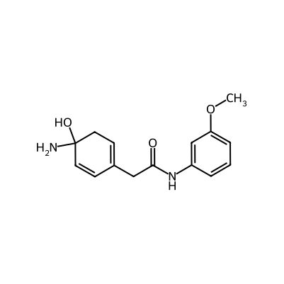 COc1cccc(NC(=O)CC2=CCC(N)(O)C=C2)c1